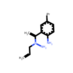 C=CCN(N)C(=C)c1cc(C(C)C)ccc1N